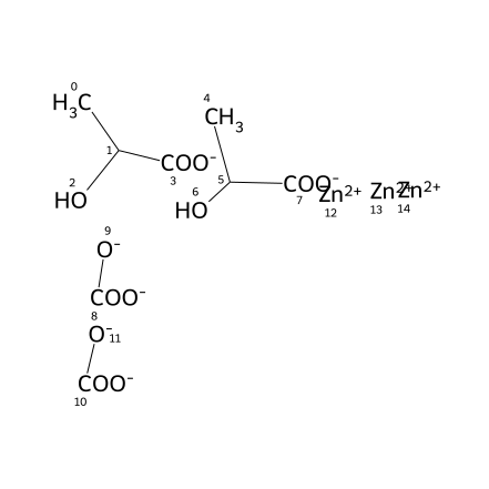 CC(O)C(=O)[O-].CC(O)C(=O)[O-].O=C([O-])[O-].O=C([O-])[O-].[Zn+2].[Zn+2].[Zn+2]